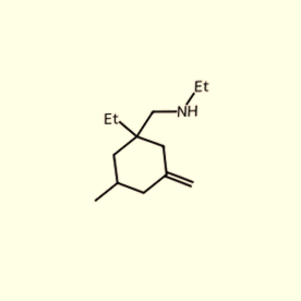 C=C1CC(C)CC(CC)(CNCC)C1